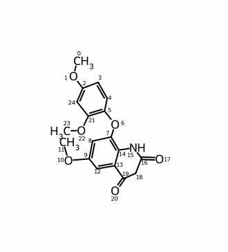 COc1ccc(Oc2cc(OC)cc3c2NC(=O)CC3=O)c(OC)c1